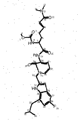 COC(=O)NC(CCC=CC(=O)N(C)C)C(=O)Nc1cccn(Cc2cc3cc(F)cc(CC(C)C)c3[nH]2)c1=O